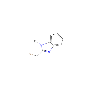 CCn1c(CBr)nc2ccccc21